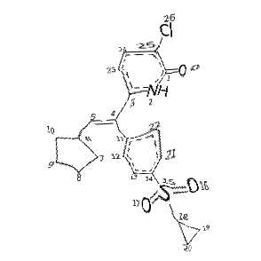 O=c1[nH]c(C(=CC2CCCC2)c2ccc(S(=O)(=O)C3CC3)cc2)ccc1Cl